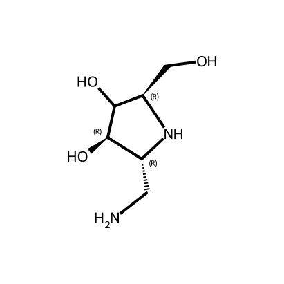 NC[C@H]1N[C@H](CO)C(O)[C@@H]1O